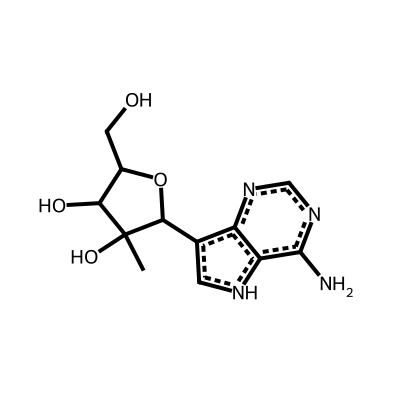 CC1(O)C(c2c[nH]c3c(N)ncnc23)OC(CO)C1O